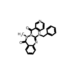 CN1C(=O)c2ccccc2N=C(NCc2ccccc2)N1C(=O)c1cccnc1